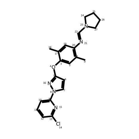 Cc1cc(Oc2ccn(-c3cccc(Cl)n3)n2)c(C)cc1N=CN1CCCC1